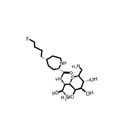 C[C@@H](O)[C@@H](NC(=O)[C@@H]1CC[C@H](CCCCF)CCN1)[C@H]1OC(CN)[C@H](O)C(O)C1O